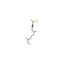 [CH2]CC(C)CCCC(C)CC#CC(C)SC